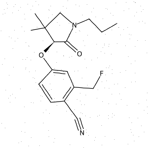 CCCN1CC(C)(C)[C@H](Oc2ccc(C#N)c(CF)c2)C1=O